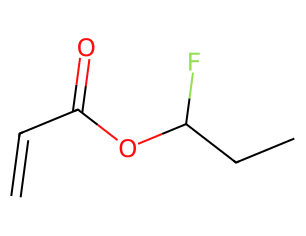 C=CC(=O)OC(F)CC